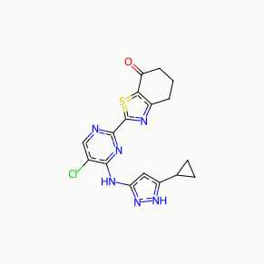 O=C1CCCc2nc(-c3ncc(Cl)c(Nc4cc(C5CC5)[nH]n4)n3)sc21